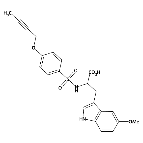 CC#CCOc1ccc(S(=O)(=O)N[C@@H](Cc2c[nH]c3ccc(OC)cc23)C(=O)O)cc1